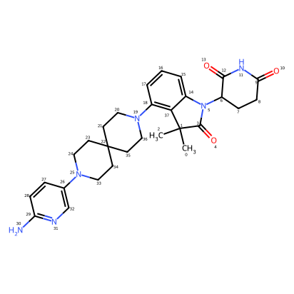 CC1(C)C(=O)N(C2CCC(=O)NC2=O)c2cccc(N3CCC4(CCN(c5ccc(N)nc5)CC4)CC3)c21